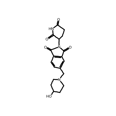 O=C1CCC(N2C(=O)c3ccc(CN4CCC(O)CC4)cc3C2=O)C(=O)N1